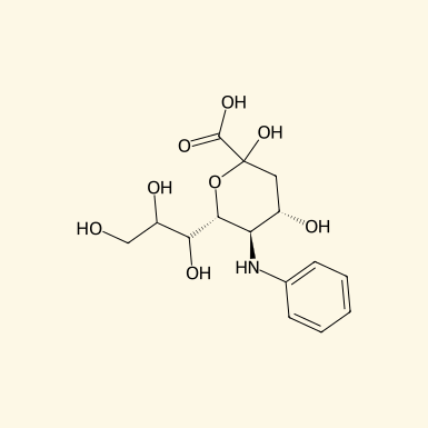 O=C(O)C1(O)C[C@H](O)[C@@H](Nc2ccccc2)[C@H](C(O)C(O)CO)O1